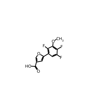 COc1c(F)c(F)cc(-c2cc(C(=O)O)co2)c1F